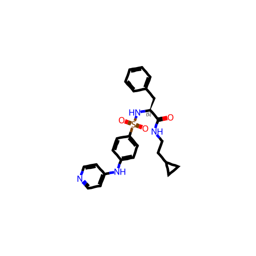 O=C(NCCC1CC1)[C@H](Cc1ccccc1)NS(=O)(=O)c1ccc(Nc2ccncc2)cc1